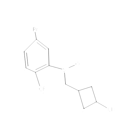 CC1CC(C[S+]([O-])c2cc(Br)ccc2C(F)(F)F)C1